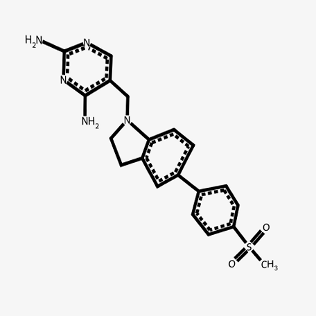 CS(=O)(=O)c1ccc(-c2ccc3c(c2)CCN3Cc2cnc(N)nc2N)cc1